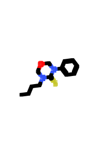 CCCCN1COCN(c2ccccc2)C1=S